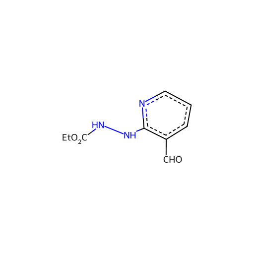 CCOC(=O)NNc1ncccc1C=O